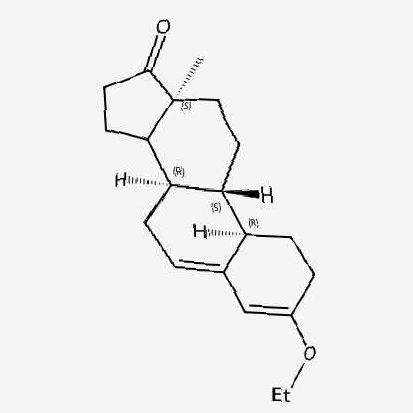 CCOC1=CC2=CC[C@H]3C4CCC(=O)[C@@]4(C)CC[C@@H]3[C@H]2CC1